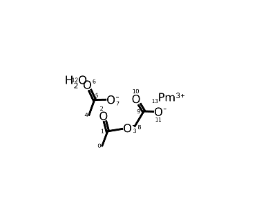 CC(=O)[O-].CC(=O)[O-].CC(=O)[O-].O.[Pm+3]